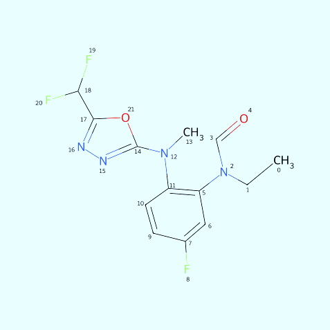 CCN(C=O)c1cc(F)ccc1N(C)c1nnc(C(F)F)o1